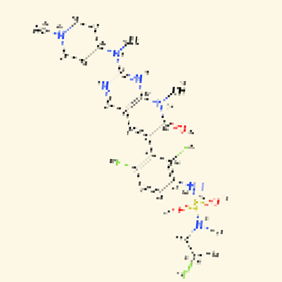 CCN(c1ncc2cc(-c3c(F)ccc(NS(=O)(=O)N4CC[C@@H](F)C4)c3F)c(=O)n(C)c2n1)C1CCN(C(C)=O)CC1